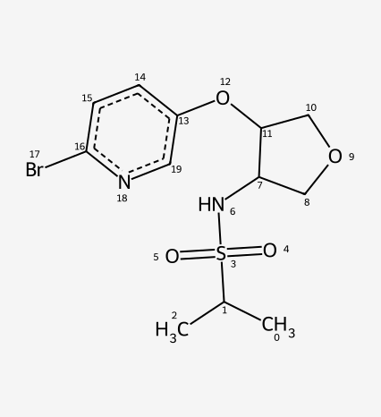 CC(C)S(=O)(=O)NC1COCC1Oc1ccc(Br)nc1